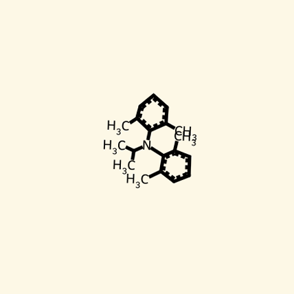 Cc1cccc(C)c1N(c1c(C)cccc1C)C(C)C